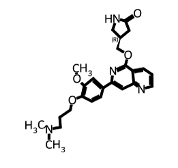 COc1cc(-c2cc3ncccc3c(OC[C@H]3CNC(=O)C3)n2)ccc1OCCCN(C)C